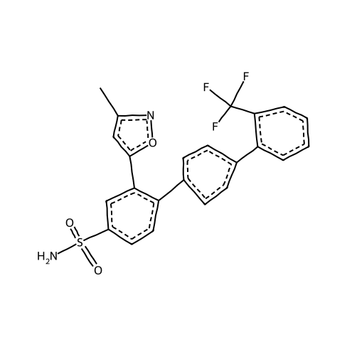 Cc1cc(-c2cc(S(N)(=O)=O)ccc2-c2ccc(-c3ccccc3C(F)(F)F)cc2)on1